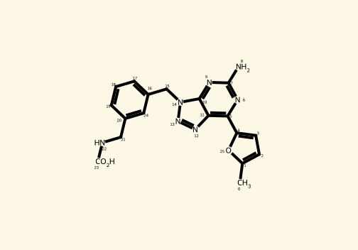 Cc1ccc(-c2nc(N)nc3c2nnn3Cc2cccc(CNC(=O)O)c2)o1